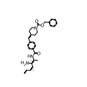 C=C/C=C\C(N)=C(/C)NC(=O)c1ccc(C=C2CCN(C(=O)OCc3ccccc3)CC2)cc1